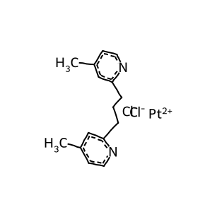 Cc1ccnc(CCCc2cc(C)ccn2)c1.[Cl-].[Cl-].[Pt+2]